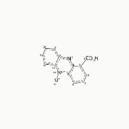 O=C(O)c1cccc2c1nc1ccccc1[n+]2[O-]